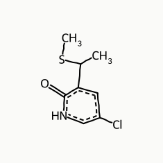 CSC(C)c1cc(Cl)c[nH]c1=O